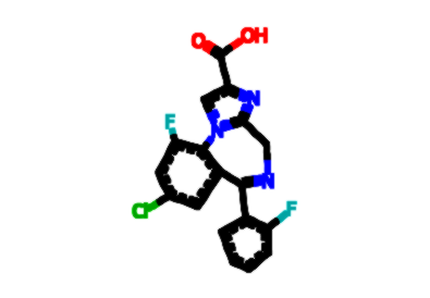 O=C(O)c1cn2c(n1)CN=C(c1ccccc1F)c1cc(Cl)cc(F)c1-2